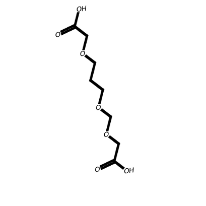 O=C(O)COCCCOCOCC(=O)O